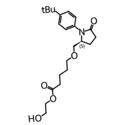 CC(C)(C)c1ccc(N2C(=O)CC[C@H]2COCCCCC(=O)OCCO)cc1